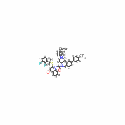 [2H]C([2H])(Sc1cc(=O)c2ccccc2n1CC(=O)N(Cc1ccc(-c2ccc(C(F)(F)F)cc2)cc1)C1CCN(C([2H])([2H])C([2H])([2H])OC)CC1)c1cccc(F)c1F